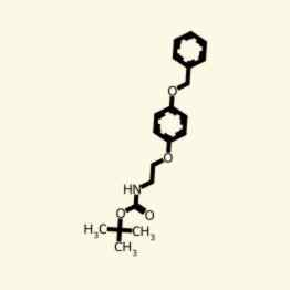 CC(C)(C)OC(=O)NCCOc1ccc(OCc2ccccc2)cc1